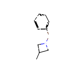 O=C(O)C1CN(Sc2ccccc2)C1